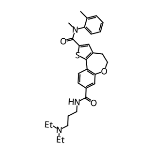 CCN(CC)CCCNC(=O)c1ccc2c(c1)OCCc1cc(C(=O)N(C)c3ccccc3C)sc1-2